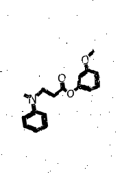 COc1cccc(OC(=O)CCN(C)c2ccccc2)c1